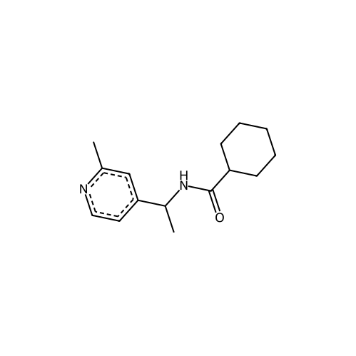 Cc1cc(C(C)NC(=O)C2CCCCC2)ccn1